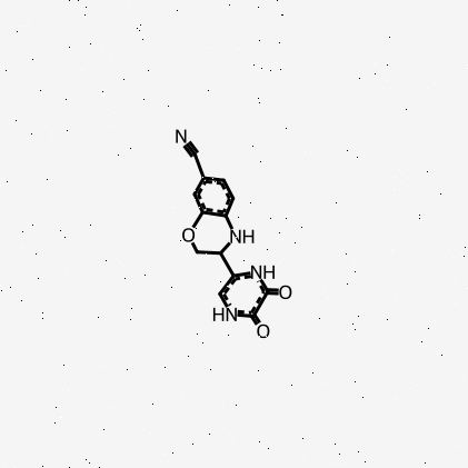 N#Cc1ccc2c(c1)OCC(c1c[nH]c(=O)c(=O)[nH]1)N2